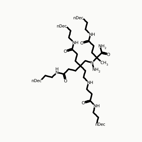 CCCCCCCCCCCCNC(=O)CCNCCC(CCC(=O)NCCCCCCCCCCCC)(CCC(=O)NCCCCCCCCCCCC)CN(N)C(C)(CCC(=O)NCCCCCCCCCCCC)C(N)=O